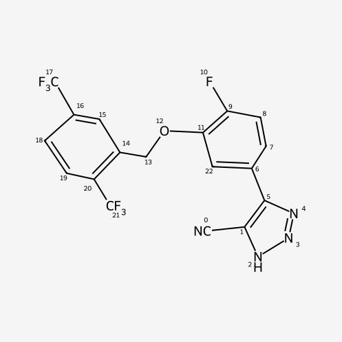 N#Cc1[nH]nnc1-c1ccc(F)c(OCc2cc(C(F)(F)F)ccc2C(F)(F)F)c1